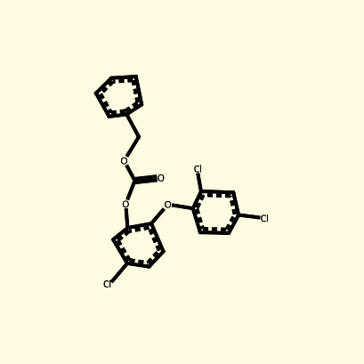 O=C(OCc1ccccc1)Oc1cc(Cl)ccc1Oc1ccc(Cl)cc1Cl